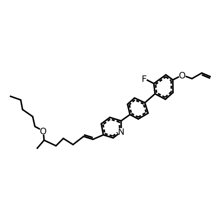 C=CCOc1ccc(-c2ccc(-c3ccc(C=CCCCC(C)OCCCCC)cn3)cc2)c(F)c1